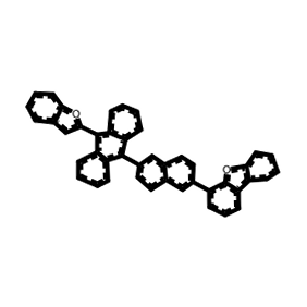 c1ccc2oc(-c3c4ccccc4c(-c4ccc5cc(-c6cccc7c6oc6ccccc67)ccc5c4)c4ccccc34)cc2c1